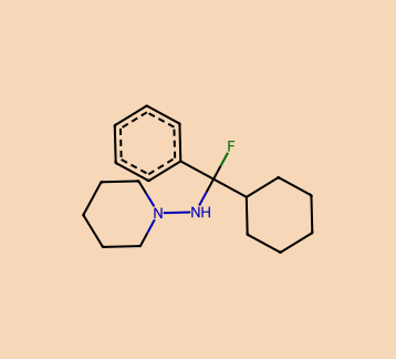 FC(NN1CCCCC1)(c1ccccc1)C1CCCCC1